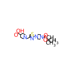 CC(C)(C)OC(=O)N1CCN(c2nc(CN3CCC(C(=O)O)CC3)cs2)CC1